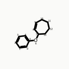 [c]1ccccc1OC1C=CCCCC1